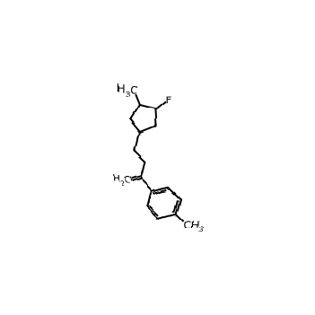 C=C(CCC1CC(C)C(F)C1)c1ccc(C)cc1